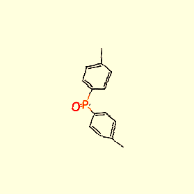 Cc1ccc([P](=O)c2ccc(C)cc2)cc1